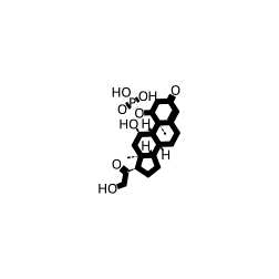 C[C@]12C[C@H](O)[C@H]3[C@@H](CCC4=CC(=O)CC(OP(=O)(O)O)[C@@]43C)[C@@H]1CC[C@@H]2C(=O)CO